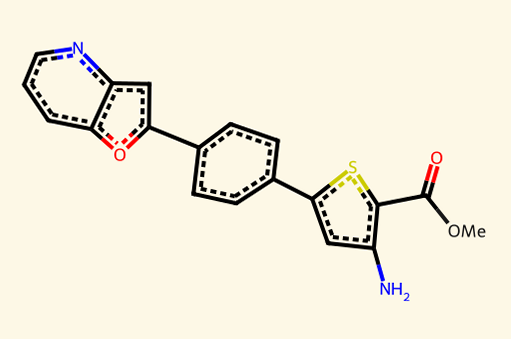 COC(=O)c1sc(-c2ccc(-c3cc4ncccc4o3)cc2)cc1N